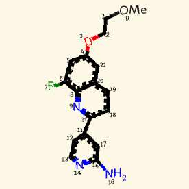 COCCOc1cc(F)c2nc(-c3ccnc(N)c3)ccc2c1